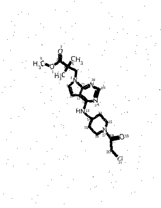 COC(=O)C(C)(C)Cn1ccc2c(NC3CCN(C(=O)CCl)CC3)ncnc21